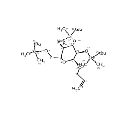 C=CCO[C@H]1O[C@H](CO[Si](C)(C)C(C)(C)C)[C@@H](F)[C@H](O[Si](C)(C)C(C)(C)C)[C@H]1O[Si](C)(C)C(C)(C)C